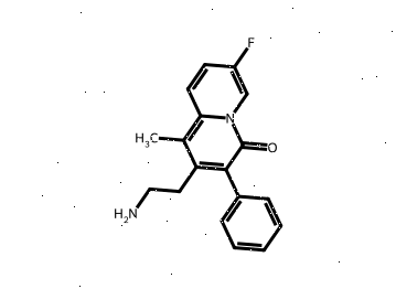 Cc1c(CCN)c(-c2ccccc2)c(=O)n2cc(F)ccc12